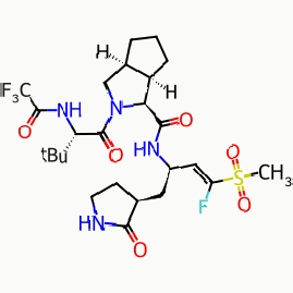 CC(C)(C)[C@H](NC(=O)C(F)(F)F)C(=O)N1C[C@H]2CCC[C@H]2[C@H]1C(=O)N[C@@H](/C=C(\F)S(C)(=O)=O)C[C@@H]1CCNC1=O